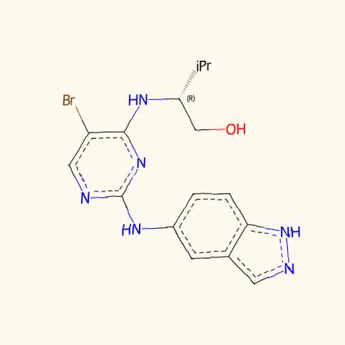 CC(C)[C@H](CO)Nc1nc(Nc2ccc3[nH]ncc3c2)ncc1Br